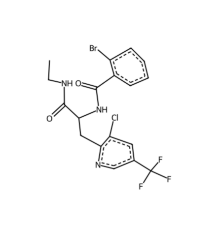 CCNC(=O)C(Cc1ncc(C(F)(F)F)cc1Cl)NC(=O)c1ccccc1Br